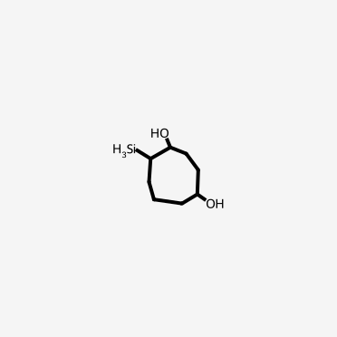 OC1CCCC([SiH3])C(O)CC1